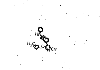 CN1CC[C@@H](COc2cnc(C#N)cc2-c2ccn3nc(Nc4ccccc4)cc3c2)C1